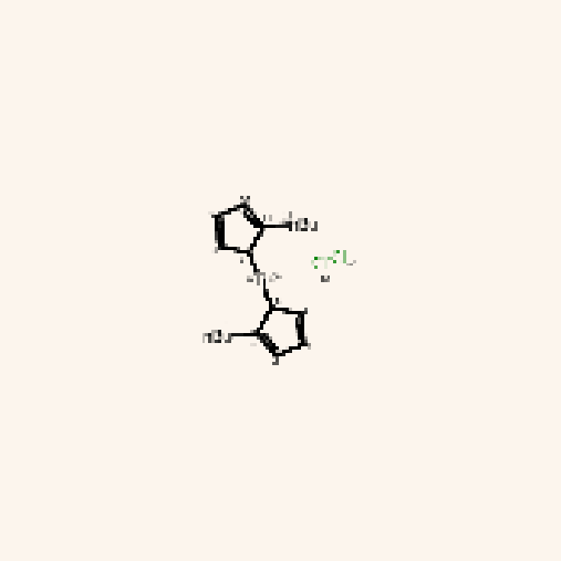 CCCCC1=CC=C[CH]1[Ti+2][CH]1C=CC=C1CCCC.[Cl-].[Cl-]